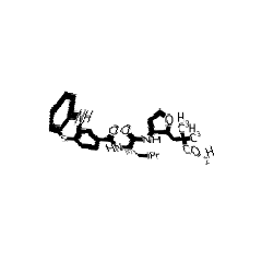 CC(C)C[C@H](NC(=O)c1ccc2c(c1)Nc1ccccc1S2)C(=O)NC1CCOC1CC(C)(C)C(=O)O